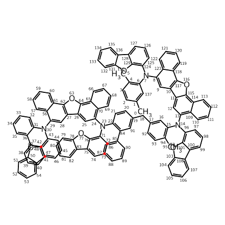 Cc1ccc(C)c(N(c2cc3c4cc(N(c5cc(Cc6ccc(N(c7cc8c9cc(N(c%10ccccc%10-c%10ccccc%10)c%10cccc%11c%10oc%10ccccc%10%11)c%10ccccc%10c9oc8c8ccccc78)c7cccc8c7oc7ccccc78)c(-c7ccccc7)c6)ccc5C)c5cccc6c5oc5ccccc56)c5ccccc5c4oc3c3ccccc23)c2cccc3c2oc2ccccc23)c1